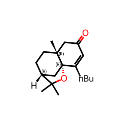 CCCCC1=CC(=O)C[C@@]2(C)CC[C@@H]3C[C@]12OC3(C)C